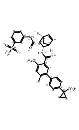 COc1cc(F)c(-c2ccc(C3(C(=O)O)CC3)cc2)cc1C(=O)N[C@@H]1[C@H](C(=O)Nc2cccc(S(=O)(=O)C(F)(F)F)c2)[C@H]2C=C[C@@H]1C2